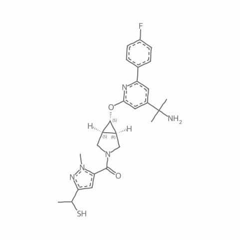 CC(S)c1cc(C(=O)N2C[C@@H]3[C@H](C2)[C@H]3Oc2cc(C(C)(C)N)cc(-c3ccc(F)cc3)n2)n(C)n1